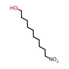 O=[N+]([O-])CCCCCCCCCCO